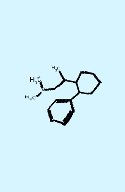 CC(CN(C)C)C1CCCCC1c1ccccc1